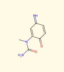 CN(C(N)=O)C1=CC(=N)C=CC1=O